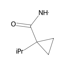 CC(C)C1(C([NH])=O)CC1